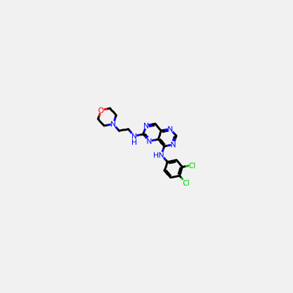 Clc1ccc(Nc2ncnc3cnc(NCCN4CCOCC4)nc23)cc1Cl